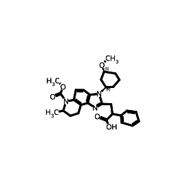 COC(=O)N1c2ccc3c(nc(CC(C(=O)O)c4ccccc4)n3[C@@H]3CCC[C@H](OC)C3)c2CCC1C